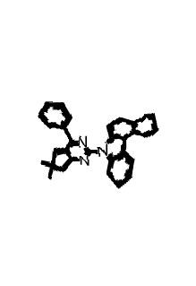 CC1(C)C=c2nc(-n3c4ccccc4c4c5ccccc5ccc43)nc(-c3ccccc3)c2=C1